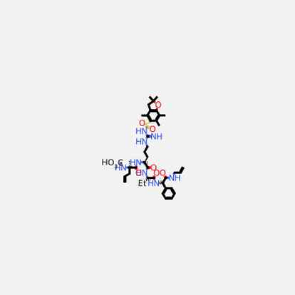 C=CCNC(=O)[C@H](NC(=O)[C@H](CC)NC(=O)[C@H](CCCNC(=N)NS(=O)(=O)c1c(C)c(C)c2c(c1C)CC(C)(C)O2)NC(=O)[C@@](C)(CC=C)NC(=O)O)c1ccccc1